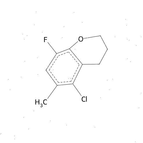 Cc1cc(F)c2c(c1Cl)CCCO2